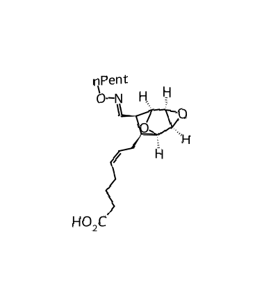 CCCCCON=C[C@@H]1[C@H](C/C=C\CCCC(=O)O)[C@H]2O[C@@H]1[C@H]1O[C@H]12